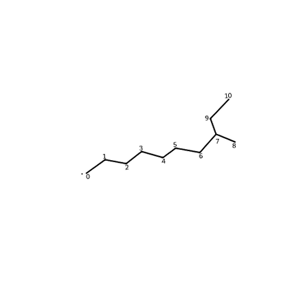 [CH2]CCCCCCC(C)CC